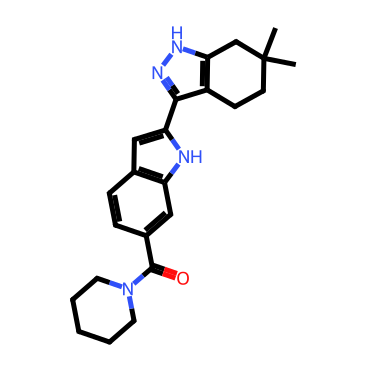 CC1(C)CCc2c(-c3cc4ccc(C(=O)N5CCCCC5)cc4[nH]3)n[nH]c2C1